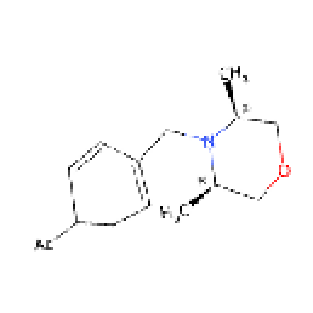 CC(=O)C1C=CC(CN2[C@H](C)COC[C@@H]2C)=CC1